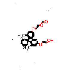 Cc1cc(OCCO)ccc1C1(c2ccc(OCCOC=O)cc2C)CCCCC1